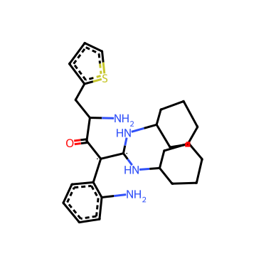 Nc1ccccc1[C]([C](NC1CCCCC1)NC1CCCCC1)C(=O)C(N)Cc1cccs1